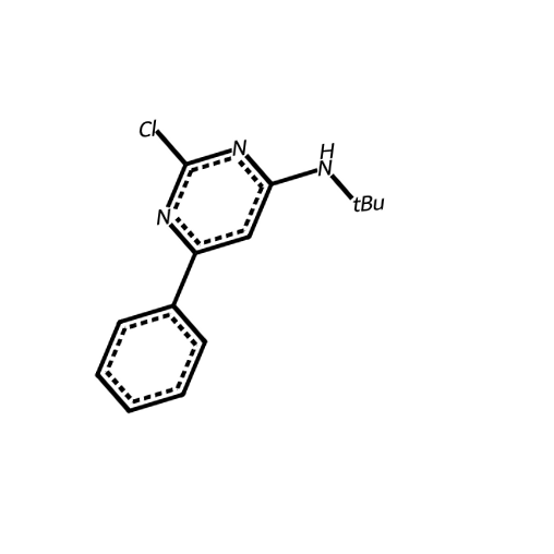 CC(C)(C)Nc1cc(-c2ccccc2)nc(Cl)n1